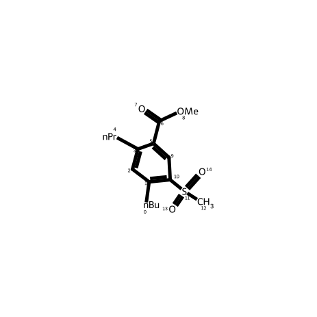 CCCCc1cc(CCC)c(C(=O)OC)cc1S(C)(=O)=O